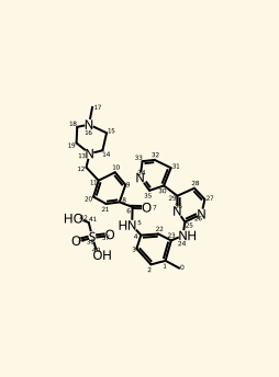 Cc1ccc(NC(=O)c2ccc(CN3CCN(C)CC3)cc2)cc1Nc1nccc(-c2cccnc2)n1.O=S(=O)(O)CO